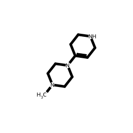 CN1CCN(C2=CCNCC2)CC1